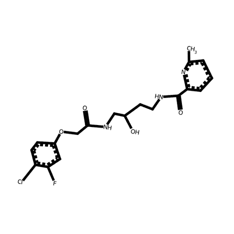 Cc1cccc(C(=O)NCCC(O)CNC(=O)COc2ccc(Cl)c(F)c2)n1